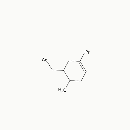 CC(=O)CC1CC(C(C)C)=CCC1C